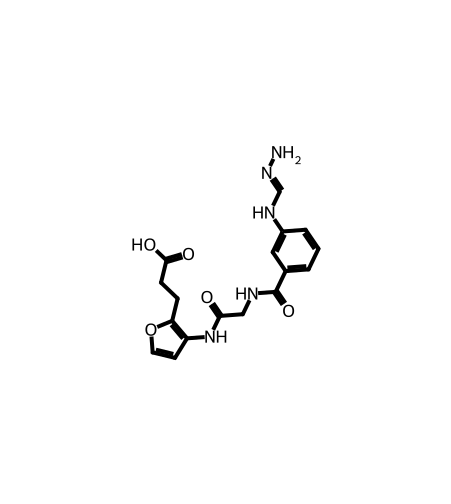 NN=CNc1cccc(C(=O)NCC(=O)Nc2ccoc2CCC(=O)O)c1